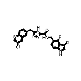 O=C(NCc1ccc2[nH]cc(Cl)c2c1F)c1nnc(Cc2ccc3ncc(Cl)cc3c2)[nH]1